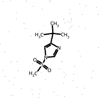 CC(C)(C)c1cn(S(C)(=O)=O)cn1